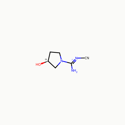 N#C/N=C(\N)N1CC[C@H](O)C1